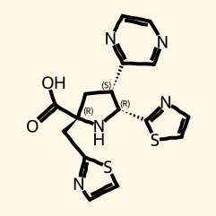 O=C(O)[C@]1(Cc2nccs2)C[C@H](c2cnccn2)[C@H](c2nccs2)N1